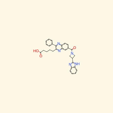 O=C(O)CCCCc1nc2cc(C(=O)N3CC(c4nc5ccccc5[nH]4)C3)ccc2nc1-c1ccccc1